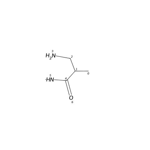 CC(CN)C([NH])=O